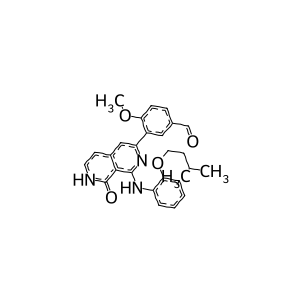 COc1ccc(C=O)cc1-c1cc2cc[nH]c(=O)c2c(Nc2ccccc2OCCC(C)C)n1